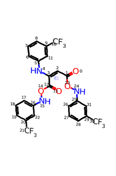 O=C(/C=C(/Nc1cccc(C(F)(F)F)c1)C(=O)ONc1cccc(C(F)(F)F)c1)ONc1cccc(C(F)(F)F)c1